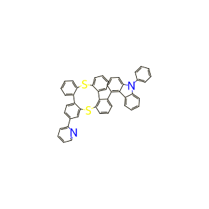 c1ccc(-n2c3ccccc3c3c(-c4cccc5c4-c4ccccc4Sc4ccccc4-c4ccc(-c6ccccn6)cc4S5)cccc32)cc1